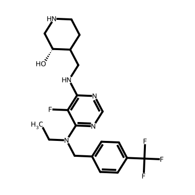 CCN(Cc1ccc(C(F)(F)F)cc1)c1ncnc(NCC2CCNC[C@H]2O)c1F